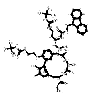 COC(=O)[C@@H]1Cc2cc(F)c(O)c(c2)-c2cc(ccc2OCCNC(=O)OC(C)(C)C)[C@H](N(C)C[C@H](CCNC(=O)OC(C)(C)C)NC(=O)OCC2c3ccccc3-c3ccccc32)C(=O)N[C@@H](C)C(=O)N1